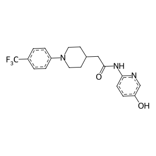 O=C(CC1CCN(c2ccc(C(F)(F)F)cc2)CC1)Nc1ccc(O)cn1